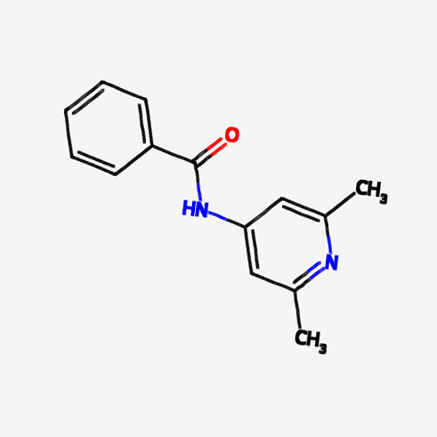 Cc1cc(NC(=O)c2ccccc2)cc(C)n1